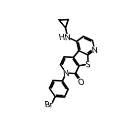 O=c1c2sc3nccc(NC4CC4)c3c2ccn1-c1ccc(Br)cc1